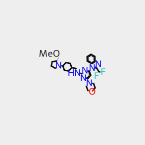 COC[C@H]1CCCN1C1CCC(CNc2nc(N3CCOCC3)cc(-n3c(C(F)F)nc4ccccc43)n2)CC1